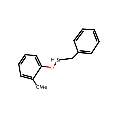 COc1ccccc1O[SiH2]Cc1ccccc1